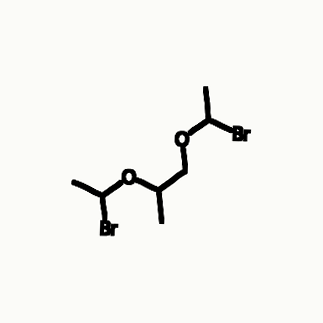 CC(Br)OCC(C)OC(C)Br